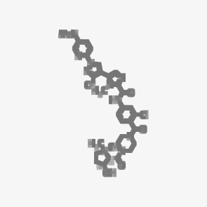 CNc1ccc(-n2cc(-c3cnc(C(=O)Nc4ccc(C(=O)N5CCN(C(=O)[C@@H]6[C@@H](O)CC[N+]6(C)C)CC5)c(Cl)c4)n3C)c(C(F)(F)F)n2)nc1